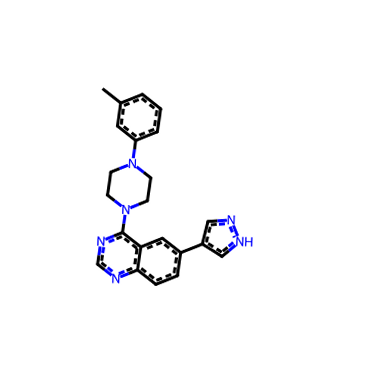 Cc1cccc(N2CCN(c3ncnc4ccc(-c5cn[nH]c5)cc34)CC2)c1